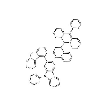 c1ccc(-c2c3ccccc3c(-c3cc(-c4ccc5oc6ccccc6c5c4-c4ccc5c6ccccc6n(-c6ccccc6)c5c4)cc4ccccc34)c3ccccc23)cc1